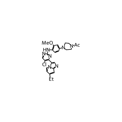 CCc1ccn2c(-c3nc(Nc4ccc(N5CCN(C(C)=O)CC5)cc4OC)ncc3Cl)cnc2c1